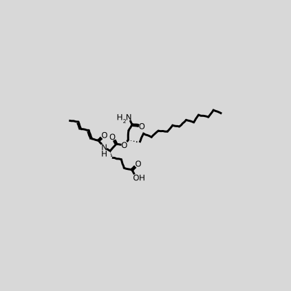 CC=CC=CC(=O)N[C@@H](CCCC(=O)O)C(=O)O[C@@H](CCCCCCCCCCCCC)CC(N)=O